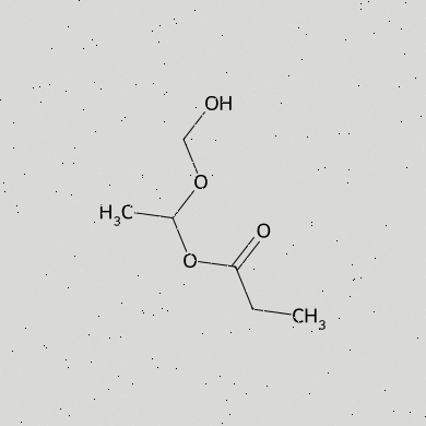 CCC(=O)OC(C)OCO